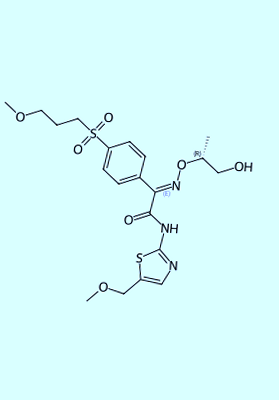 COCCCS(=O)(=O)c1ccc(/C(=N\O[C@H](C)CO)C(=O)Nc2ncc(COC)s2)cc1